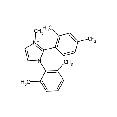 Cc1cc(C(F)(F)F)ccc1-c1n(-c2c(C)cccc2C)cc[n+]1C